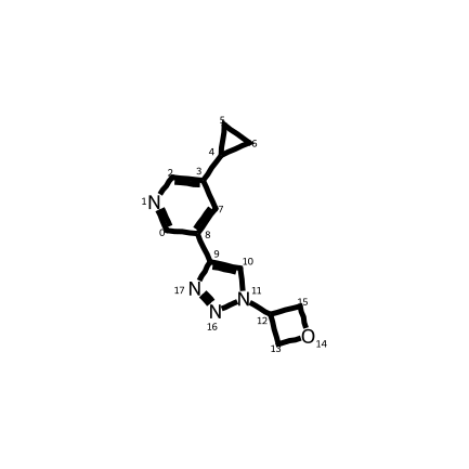 c1ncc(C2CC2)cc1-c1cn(C2COC2)nn1